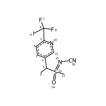 CC(c1ccc(C(F)(F)I)nc1)S(C)(=O)=NC#N